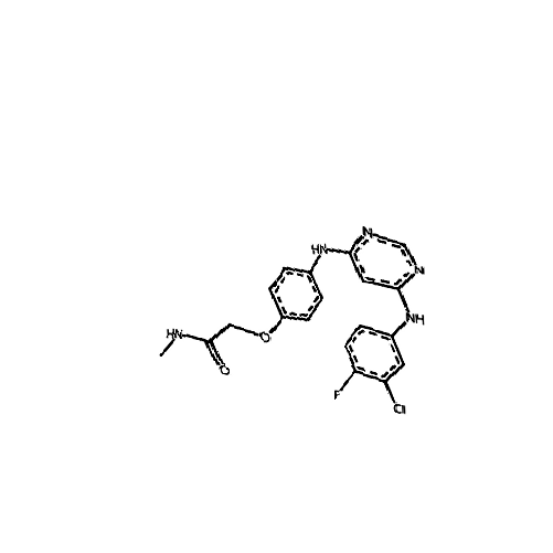 CNC(=O)COc1ccc(Nc2cc(Nc3ccc(F)c(Cl)c3)ncn2)cc1